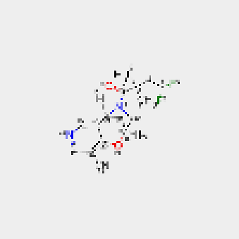 CC(C)(CC(F)F)C(=O)N1C[C@@H]2C[C@H]1c1cncc(C#N)c1O2